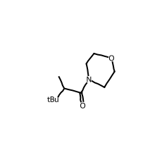 CC(C(=O)N1CCOCC1)C(C)(C)C